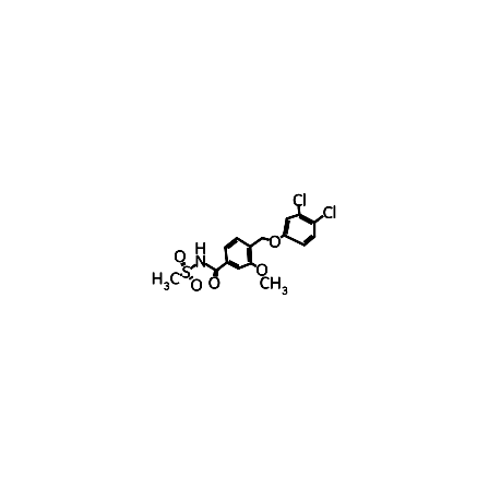 COc1cc(C(=O)NS(C)(=O)=O)ccc1COc1ccc(Cl)c(Cl)c1